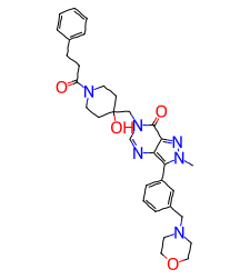 Cn1nc2c(=O)n(CC3(O)CCN(C(=O)CCc4ccccc4)CC3)cnc2c1-c1cccc(CN2CCOCC2)c1